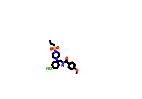 CCCS(=O)(=O)N1CCN(C2(CNC(=O)c3ccc(OC)cc3)CCCCC2)CC1.Cl